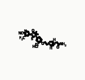 CCc1cc(N2C(=S)N(c3cnc(C#N)c(C(F)(F)F)c3)C(=O)C2(C)C)ccc1OCCN1C[C@@H]2C[C@H]1CN2CC(N)=O.Cl